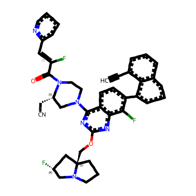 C#Cc1cccc2cccc(-c3ccc4c(N5CCN(C(=O)/C(F)=C/c6ccccn6)[C@@H](CC#N)C5)nc(OC[C@@]56CCCN5C[C@H](F)C6)nc4c3F)c12